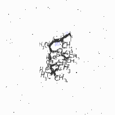 CC(/C=C\I)=C\[C@H](C)[C@H](CCO[Si](C)(C)C(C)(C)C)O[Si](C)(C)C(C)(C)C